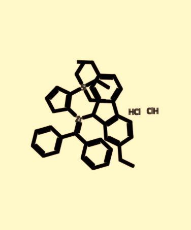 CCc1ccc2c(c1)[CH]([Zr]([C]1=C([Si](CC)(CC)CC)C=CC1)=[C](c1ccccc1)c1ccccc1)c1cc(CC)ccc1-2.Cl.Cl